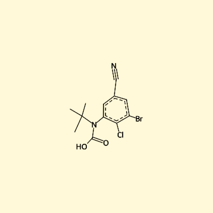 CC(C)(C)N(C(=O)O)c1cc(C#N)cc(Br)c1Cl